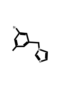 Cc1cc(Br)cc(Cn2ccnc2)c1